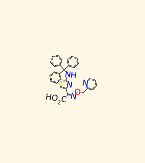 O=C(O)C(=NOCc1ccccn1)c1csc(NC(c2ccccc2)(c2ccccc2)c2ccccc2)n1